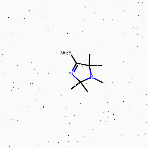 CSC1=NC(C)(C)N(C)C1(C)C